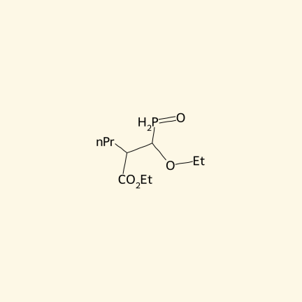 CCCC(C(=O)OCC)C(OCC)[PH2]=O